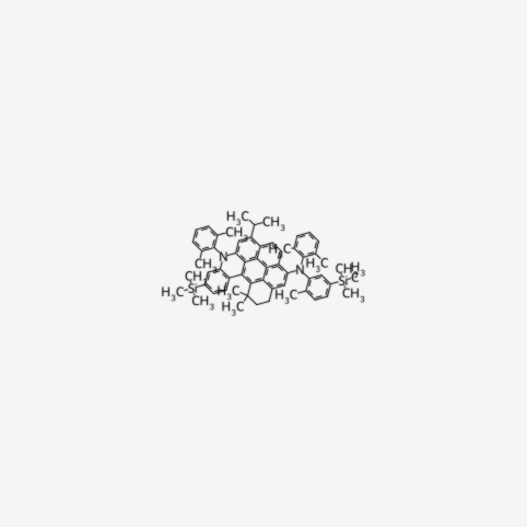 Cc1ccc([Si](C)(C)C)cc1N(c1c(C)cccc1C)c1cc2c3c(c4c5c(cc(C(C)C)c6ccc1c3c65)N(c1c(C)cccc1C)c1cc([Si](C)(C)C)ccc1-4)C(C)(C)CC2